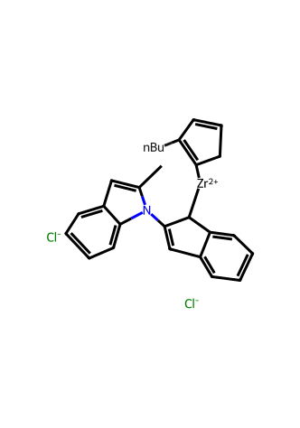 CCCCC1=[C]([Zr+2][CH]2C(n3c(C)cc4ccccc43)=Cc3ccccc32)CC=C1.[Cl-].[Cl-]